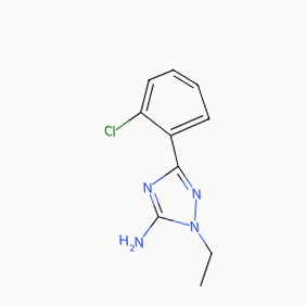 CCn1nc(-c2ccccc2Cl)nc1N